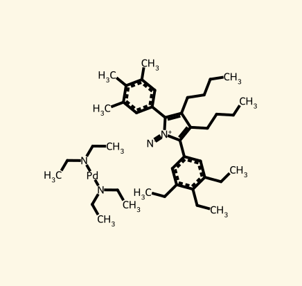 CCCCC1=C(c2cc(C)c(C)c(C)c2)[N+](=[N-])C(c2cc(CC)c(CC)c(CC)c2)=C1CCCC.CC[N](CC)[Pd][N](CC)CC